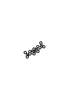 c1ccc(N2c3cccc4c3B(c3cccc(-c5ccc6c(c5)c5ccccc5n6-c5ccccc5)c32)c2cccc(-c3ccc5c(c3)c3ccccc3n5-c3ccccc3)c2N4c2ccccc2)cc1